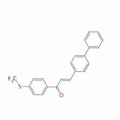 O=C(C=Cc1ccc(-c2ccccc2)cc1)c1ccc(SC(F)(F)F)cc1